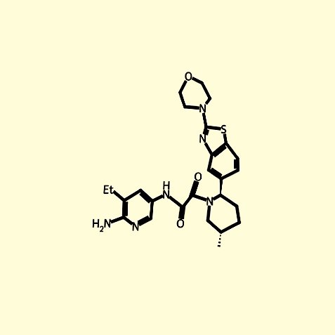 CCc1cc(NC(=O)C(=O)N2C[C@@H](C)CC[C@@H]2c2ccc3sc(N4CCOCC4)nc3c2)cnc1N